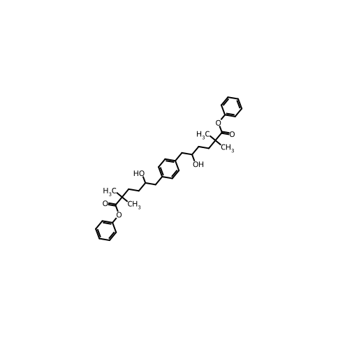 CC(C)(CCC(O)Cc1ccc(CC(O)CCC(C)(C)C(=O)Oc2ccccc2)cc1)C(=O)Oc1ccccc1